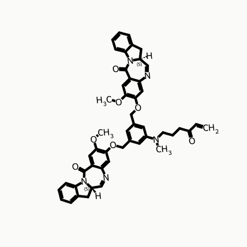 C=CC(=O)CCCN(C)c1cc(COc2cc3c(cc2OC)C(=O)N2c4ccccc4C[C@H]2C=N3)cc(COc2cc3c(cc2OC)C(=O)N2c4ccccc4C[C@H]2C=N3)c1